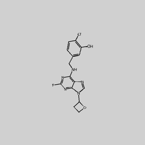 Oc1cc(CNc2nc(F)nc3c2ncn3C2CCO2)ccc1Cl